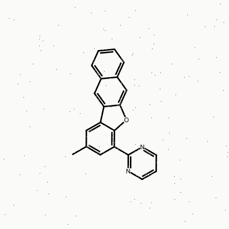 Cc1cc(-c2ncccn2)c2oc3cc4ccccc4cc3c2c1